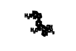 CNc1ccc(-n2ccc3cnc(N)nc32)cc1C#CC(C)(O)c1nccs1